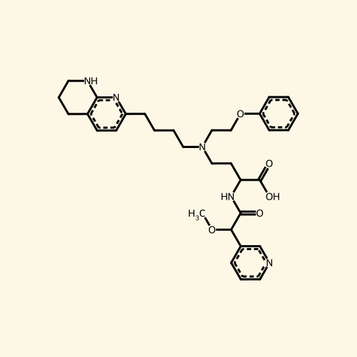 COC(C(=O)NC(CCN(CCCCc1ccc2c(n1)NCCC2)CCOc1ccccc1)C(=O)O)c1cccnc1